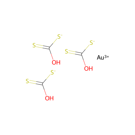 OC(=S)[S-].OC(=S)[S-].OC(=S)[S-].[Au+3]